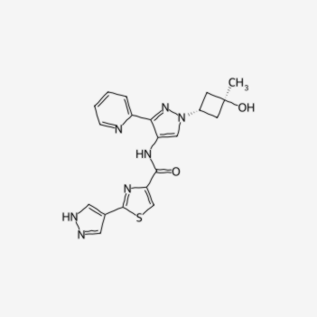 C[C@]1(O)C[C@H](n2cc(NC(=O)c3csc(-c4cn[nH]c4)n3)c(-c3ccccn3)n2)C1